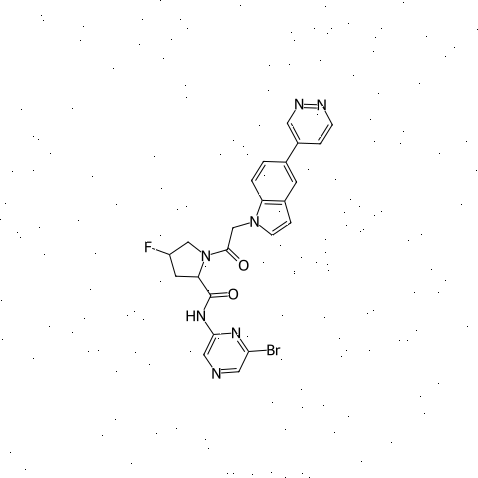 O=C(Nc1cncc(Br)n1)C1CC(F)CN1C(=O)Cn1ccc2cc(-c3ccnnc3)ccc21